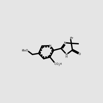 CC(C)COCc1cnc(C2=NC(C)(C(C)C)C(=O)N2)c(C(=O)O)c1